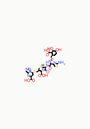 Nc1nc(C(=NOCc2ccc(O)c(O)c2C(=O)O)C(=O)N[C@@H]2C(=O)N3C(C(=O)O)=C(CSc4cc(C(=O)O)nc5cnnn45)CS[C@H]23)cs1